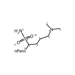 CCCCCC(CCCN(C)C)S(N)(=O)=O